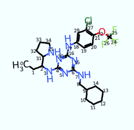 CCC(Nc1nc(NCC2CCCCC2)nc(Nc2ccc(OC(F)(F)F)c(Cl)c2)n1)C1CCCN1